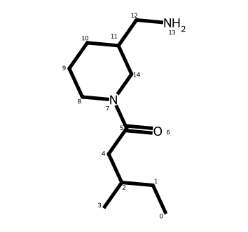 CCC(C)CC(=O)N1CCCC(CN)C1